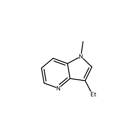 CCc1cn(C)c2cccnc12